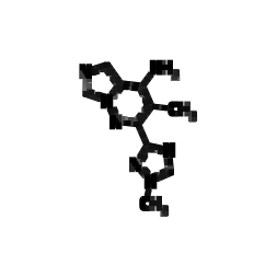 Cc1c(-c2ncn(C)n2)nn2cncc2c1N